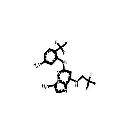 Nc1ccc(C(F)(F)F)c(Nc2cc(NCC(F)(F)F)c3ncc(N)n3n2)c1